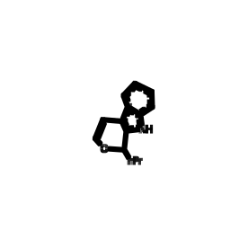 CCCC1OC=Cc2c1[nH]c1ccccc21